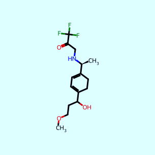 COCCC(O)C1=CC=C([C@H](C)NCC(=O)C(F)(F)F)CC1